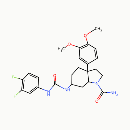 COc1ccc(C23CCC(NC(=O)Nc4ccc(F)c(F)c4)CC2N(C(N)=O)CC3)cc1OC